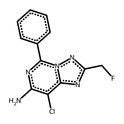 Nc1nc(-c2ccccc2)n2nc(CF)nc2c1Cl